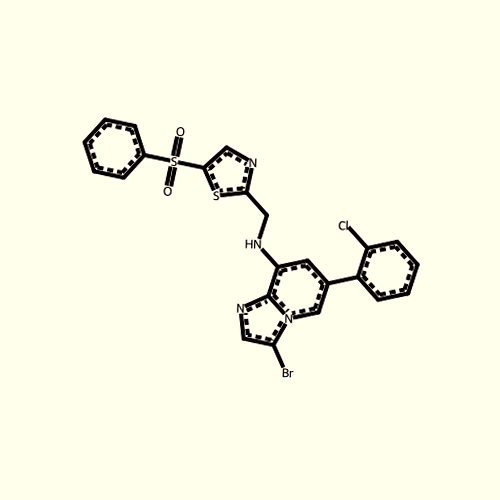 O=S(=O)(c1ccccc1)c1cnc(CNc2cc(-c3ccccc3Cl)cn3c(Br)cnc23)s1